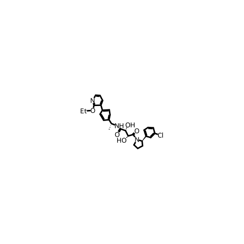 CCOc1ncccc1-c1ccc([C@@H](C)NC(=O)[C@H](O)[C@@H](O)C(=O)N2CCC[C@@H]2c2cccc(Cl)c2)cc1